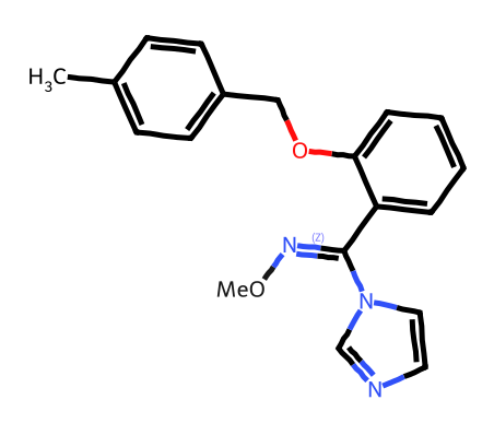 CO/N=C(/c1ccccc1OCc1ccc(C)cc1)n1ccnc1